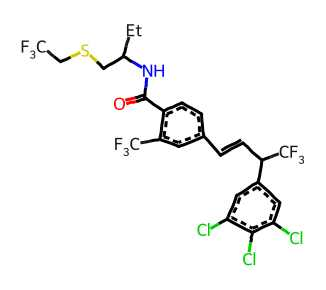 CCC(CSCC(F)(F)F)NC(=O)c1ccc(/C=C/C(c2cc(Cl)c(Cl)c(Cl)c2)C(F)(F)F)cc1C(F)(F)F